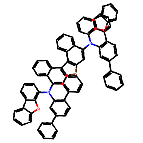 c1ccc(-c2ccc(-c3ccccc3)c(N(c3cc4sc5cc(N(c6cc(-c7ccccc7)ccc6-c6ccccc6)c6cccc7c6oc6ccccc67)c6ccccc6c5c4c4ccccc34)c3cccc4c3oc3ccccc34)c2)cc1